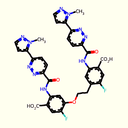 Cn1nccc1-c1ccc(C(=O)Nc2cc(CCOc3cc(NC(=O)c4ccc(-c5ccnn5C)nn4)c(C(=O)O)cc3F)c(F)cc2C(=O)O)nn1